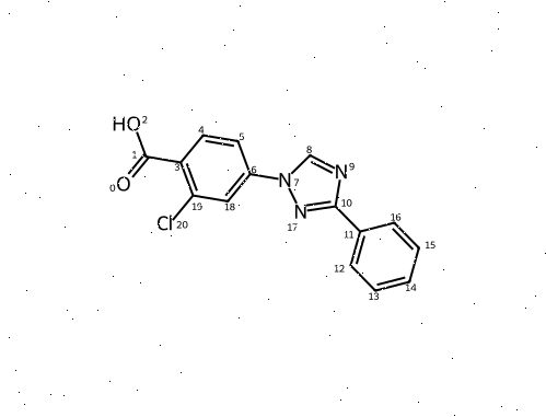 O=C(O)c1ccc(-n2cnc(-c3ccccc3)n2)cc1Cl